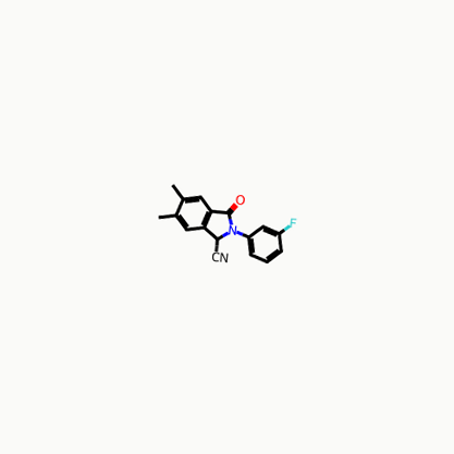 Cc1cc2c(cc1C)C(C#N)N(c1cccc(F)c1)C2=O